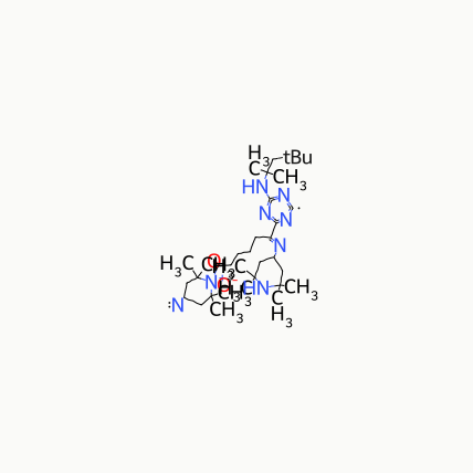 CC(C)(C)CC(C)(C)Nc1n[c]nc(C(CCCCC(=O)[N+]2([O-])C(C)(C)CC([N])CC2(C)C)=NC2CC(C)(C)NC(C)(C)C2)n1